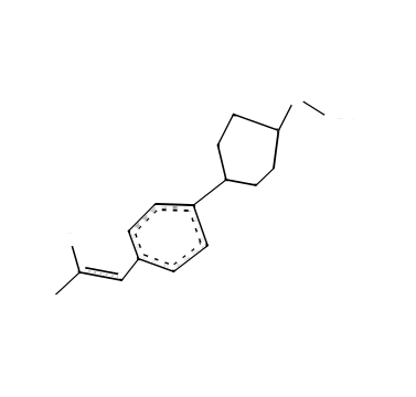 CCCCCCCOC1CCC(c2ccc(C=C(F)F)cc2)CC1